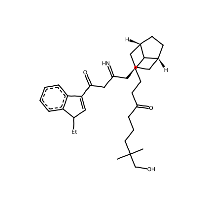 CCC1C=C(C(=O)CC(=N)C[C@@H]2C[C@H]3CC[C@@H](C2)C3CCCC(=O)CCCC(C)(C)CO)c2ccccc21